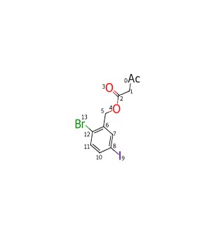 CC(=O)CC(=O)OCc1cc(I)ccc1Br